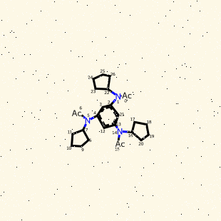 CC(=O)N(c1cc(N(C(C)=O)C2CCCC2)cc(N(C(C)=O)C2CCCC2)c1)C1CCCC1